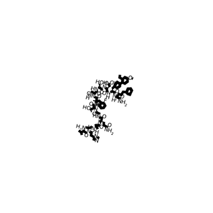 CCCN(C[C@H](Cc1cnc[nH]1)NC(=O)C(N)C(C)C)C(C)(C)C(=O)N[C@@H](CCC(N)=O)C(=O)NCC(=O)N[C@H](C(=O)N[C@@](C)(Cc1c(F)cccc1F)C(=O)N[C@H](C(=O)N[C@@H](CO)C(=O)N[C@@H](CC(=O)O)C(=O)N[C@@H](Cc1ccc(-c2ccc(OC)cc2CC)cc1)C(=O)N[C@@](C)(CCCc1ccccc1)C(N)=O)[C@@H](C)O)[C@@H](C)O